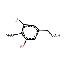 COc1c(C)cc(CC(=O)O)cc1Br